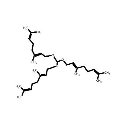 CC(C)=CCC/C(C)=C/COC(OC/C=C(\C)CCC=C(C)C)OC/C=C(\C)CCC=C(C)C